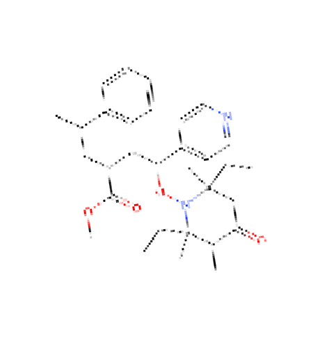 CCC1(C)CC(=O)C(C)C(C)(CC)N1OC(CC(CC(C)c1ccccc1)C(=O)OC)c1ccncc1